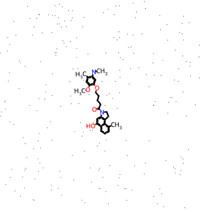 C=Nc1cc(OCCCCC(=O)N2CCc3c2cc(O)c2cccc(C)c32)c(OC)cc1C